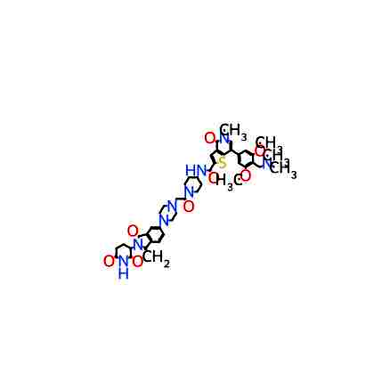 C=C1c2ccc(N3CCN(CC(=O)N4CCC(NC(=O)c5cc6c(=O)n(C)cc(-c7cc(OC)c(CN(C)C)c(OC)c7)c6s5)CC4)CC3)cc2C(=O)N1C1CCC(=O)NC1=O